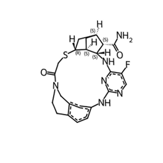 NC(=O)[C@H]1[C@H]2C[C@H]3[C@H]1Nc1nc(ncc1F)Nc1ccc4c(c1)CN(CC4)C(=O)CS[C@@H]3C2